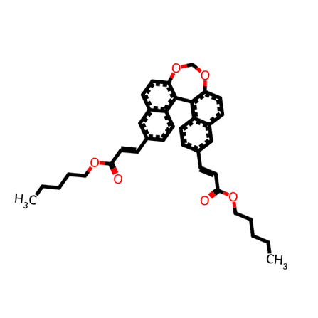 CCCCCOC(=O)/C=C/c1ccc2c3c(ccc2c1)OCOc1ccc2cc(/C=C/C(=O)OCCCCC)ccc2c1-3